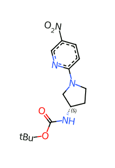 CC(C)(C)OC(=O)N[C@H]1CCN(c2ccc([N+](=O)[O-])cn2)C1